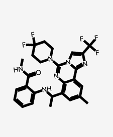 CNC(=O)c1ccccc1NC(C)c1cc(C)cc2c1nc(N1CCC(F)(F)CC1)n1cc(C(F)(F)F)nc21